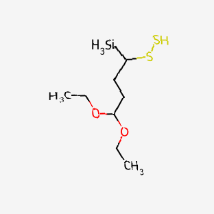 CCOC(CCC([SiH3])SS)OCC